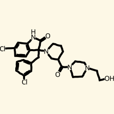 O=C(C1CCCN(C2(Cc3cccc(Cl)c3)C(=O)Nc3cc(Cl)ccc32)C1)N1CCN(CCO)CC1